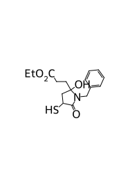 CCOC(=O)CCC1(O)CC(S)C(=O)N1Cc1ccccc1